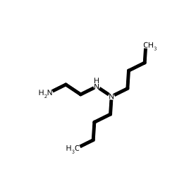 CCCCN(CCCC)NCCN